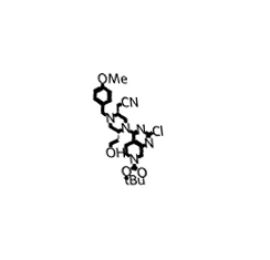 COc1ccc(CN2C[C@@H](CCO)N(c3nc(Cl)nc4c3CCN(C(=O)OC(C)(C)C)C4)C[C@@H]2CC#N)cc1